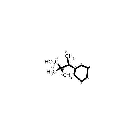 CC(C1CCCCC1)C(C)(C)C(=O)O